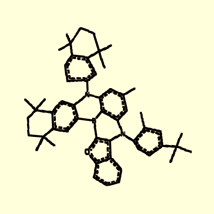 Cc1cc2c3c(c1)N(c1ccc(C(C)(C)C)cc1C)c1c(oc4ccccc14)B3c1cc3c(cc1N2c1ccc2c(c1)C(C)(C)CCC2(C)C)C(C)(C)CCC3(C)C